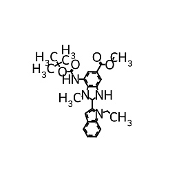 CCn1c(C2Nc3cc(C(=O)OC)cc(NC(=O)OC(C)(C)C)c3N2C)cc2ccccc21